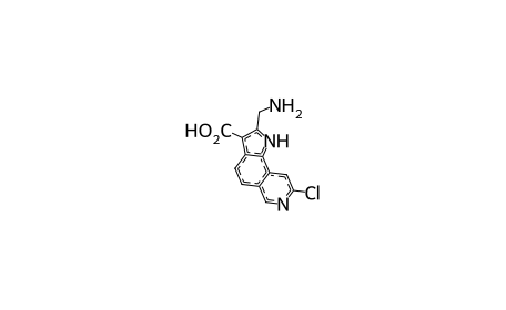 NCc1[nH]c2c(ccc3cnc(Cl)cc32)c1C(=O)O